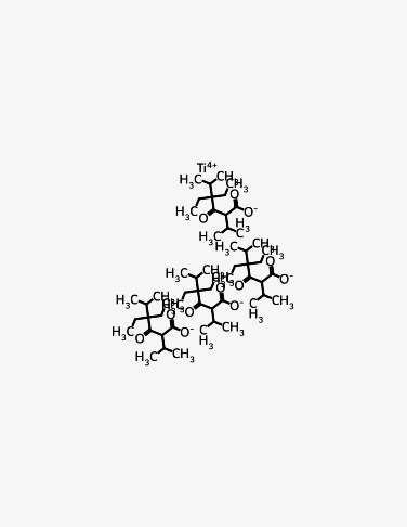 CCC(CC)(C(=O)C(C(=O)[O-])C(C)C)C(C)C.CCC(CC)(C(=O)C(C(=O)[O-])C(C)C)C(C)C.CCC(CC)(C(=O)C(C(=O)[O-])C(C)C)C(C)C.CCC(CC)(C(=O)C(C(=O)[O-])C(C)C)C(C)C.[Ti+4]